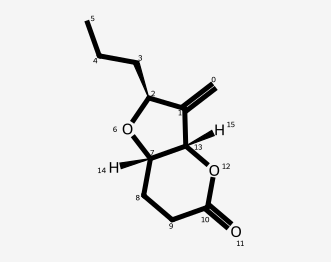 C=C1[C@H](CCC)O[C@H]2CCC(=O)O[C@@H]12